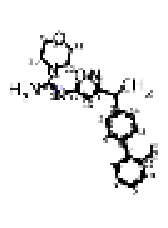 CC(c1ccc(-c2ccccc2F)cc1)c1cc(/N=C(/N)N2CCOCC2)on1